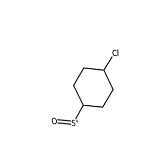 O=[S+]C1CCC(Cl)CC1